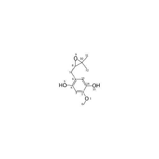 COc1cc(O)c(CC2OC2(C)C)cc1O